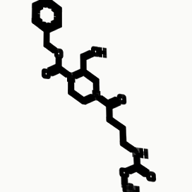 CC(C)(C)OC(=O)NCCCC(=O)N1CCN(C(=O)OCc2ccccc2)C(CO)C1